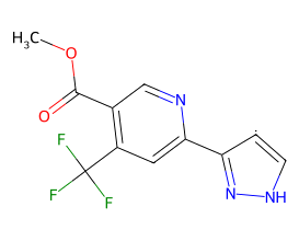 COC(=O)c1cnc(-c2[c]c[nH]n2)cc1C(F)(F)F